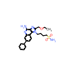 CCOCc1nc2c(N)nc3cc(-c4ccccc4)ccc3c2n1CCCCS(N)(=O)=O